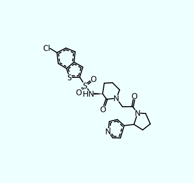 O=C1[C@@H](NS(=O)(=O)c2cc3ccc(Cl)cc3s2)CCCN1CC(=O)N1CCCC1c1ccncc1